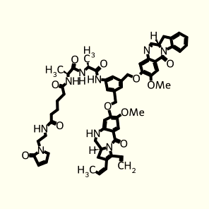 C=CC1=C(/C=C\C)C[C@H]2CNc3cc(OCc4cc(COc5cc6c(cc5OC)C(=O)N5c7ccccc7C[C@H]5C=N6)cc(NC(=O)[C@H](C)NC(=O)[C@H](C)NC(=O)CCCCC(=O)NCCN5CC=CC5=O)c4)c(OC)cc3C(=O)N12